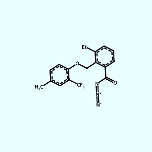 CCc1cccc(C(=O)N=[N+]=[N-])c1COc1ccc(C)cc1C(F)(F)F